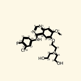 COc1cc2ncnc(Nc3ccc(F)c(Cl)c3)c2cc1OCCN(CCO)CCO